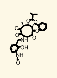 CC(C)C(=O)O[C@@H]1[C@H](C)C(=O)C(=O)[C@@H](NCc2cccc(NC=O)c2O)CC(=O)C(=O)[C@@H]1Cc1ccccc1